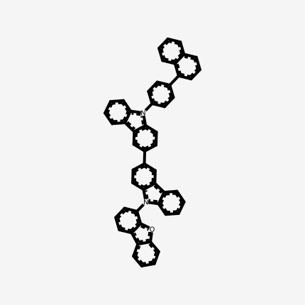 c1ccc2c(-c3ccc(-n4c5ccccc5c5cc(-c6ccc7c(c6)c6ccccc6n7-c6cccc7c6oc6ccccc67)ccc54)cc3)cccc2c1